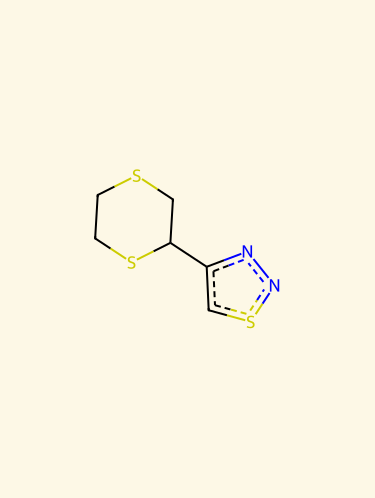 c1snnc1C1CSCCS1